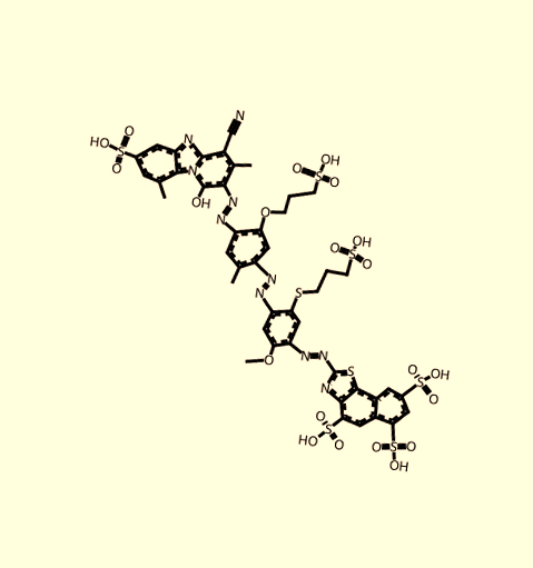 COc1cc(N=Nc2cc(OCCCS(=O)(=O)O)c(N=Nc3c(C)c(C#N)c4nc5cc(S(=O)(=O)O)cc(C)c5n4c3O)cc2C)c(SCCCS(=O)(=O)O)cc1N=Nc1nc2c(S(=O)(=O)O)cc3c(S(=O)(=O)O)cc(S(=O)(=O)O)cc3c2s1